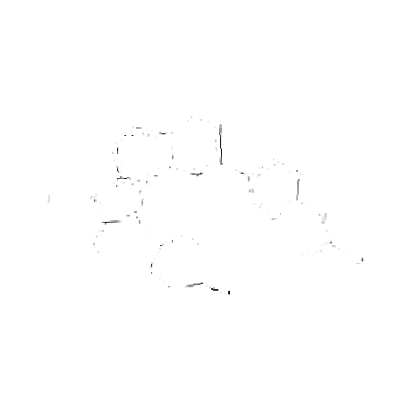 Cn1c(=O)n([C@H]2CC[C@H](O)CC2)c2c3cc(-c4ccc(NC(=O)O)nc4)ccc3ncc21